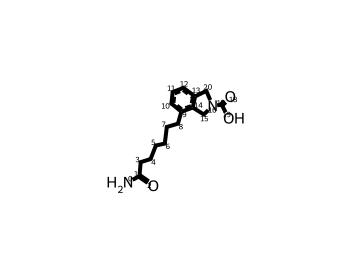 NC(=O)CCCCCCc1cccc2c1CN(C(=O)O)C2